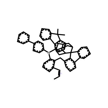 C/C=C\c1cccc(N(c2ccc(-c3ccccc3)cc2)c2cccc3c2-c2ccccc2C3(C)C)c1Cc1cccc2c1C1(c3ccccc3-2)C2CC3CC(C2)CC1C3